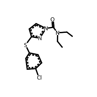 CCN(CC)C(=O)n1ccc(Sc2ccc(Cl)cc2)n1